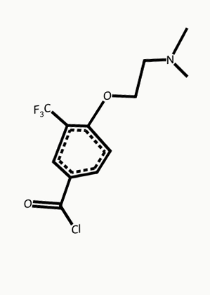 CN(C)CCOc1ccc(C(=O)Cl)cc1C(F)(F)F